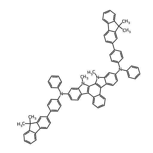 Cn1c2cc(N(c3ccccc3)c3ccc(-c4ccc5c(c4)C(C)(C)c4ccccc4-5)cc3)ccc2c2c3ccccc3c3c4ccc(N(c5ccccc5)c5ccc(-c6ccc7c(c6)C(C)(C)c6ccccc6-7)cc5)cc4n(C)c3c21